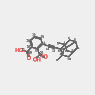 CC12CC3CC(C1)CC(C)(C3)C2C#Cc1cccc(C(=O)O)c1C(=O)O